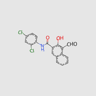 O=Cc1c(O)c(C(=O)Nc2ccc(Cl)cc2Cl)cc2ccccc12